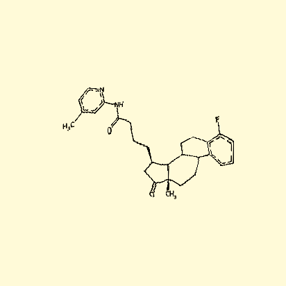 Cc1ccnc(NC(=O)CCC[C@@H]2CC(=O)[C@@]3(C)CCC4c5cccc(F)c5CCC4C23)c1